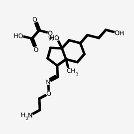 CC12CCC(CCCO)CC1(O)CCC2C=NOCCN.O=C(O)C(=O)O